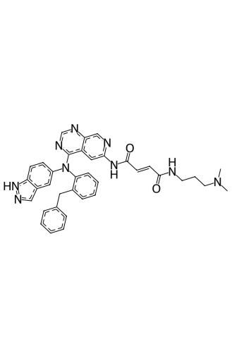 CN(C)CCCNC(=O)C=CC(=O)Nc1cc2c(N(c3ccc4[nH]ncc4c3)c3ccccc3Cc3ccccc3)ncnc2cn1